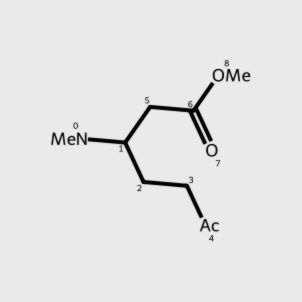 CNC(CCC(C)=O)CC(=O)OC